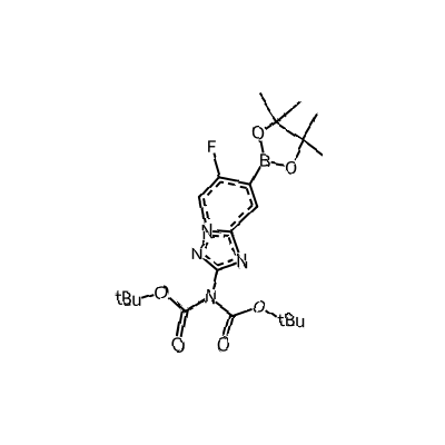 CC(C)(C)OC(=O)N(C(=O)OC(C)(C)C)c1nc2cc(B3OC(C)(C)C(C)(C)O3)c(F)cn2n1